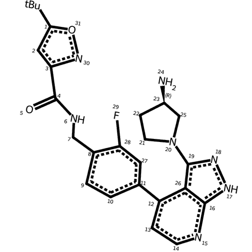 CC(C)(C)c1cc(C(=O)NCc2ccc(-c3ccnc4[nH]nc(N5CC[C@@H](N)C5)c34)cc2F)no1